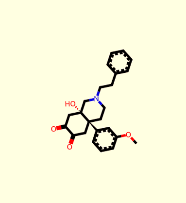 COc1cccc([C@]23CCN(CCc4ccccc4)C[C@]2(O)CC(=O)C(=O)C3)c1